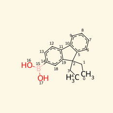 CCC1(CC)c2ccccc2-c2ccc(B(O)O)cc21